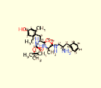 Cc1cc(O)cc(C)c1C[C@H](NC(=O)OC(C)(C)C)C(=O)N[C@H](C)C(=O)NC[C@@H](N)Cc1ccccc1